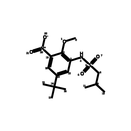 COc1c(NS(=O)(=O)CC(C)C)cc(C(C)(C)C)cc1[N+](=O)[O-]